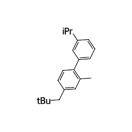 Cc1cc(CC(C)(C)C)ccc1-c1cccc(C(C)C)c1